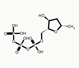 C[C@H]1C[C@H](O)[C@@H](COP(=O)(O)OP(=O)(O)OP(=O)(O)O)O1